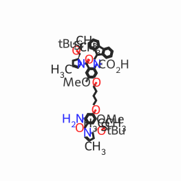 COc1cc(C(=O)N2C=C(C)C[C@H]2CO[Si](C)(C)C(C)(C)C)c(N)cc1OCCCCCOc1cc(N(CC2c3ccccc3-c3ccccc32)C(=O)O)c(C(=O)N2C=C(C)C[C@H]2CO[Si](C)(C)C(C)(C)C)cc1OC